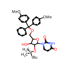 COc1ccc(C(OCC2OC(n3ccc(=O)[nH]c3=O)C(O[Si](C)(C)C(C)(C)C)C2O)(c2ccccc2)c2ccc(OC)cc2)cc1